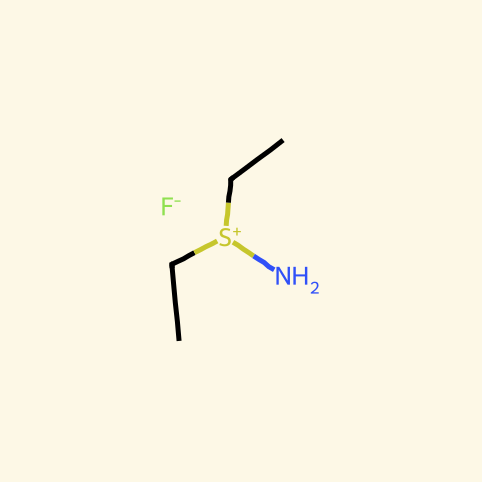 CC[S+](N)CC.[F-]